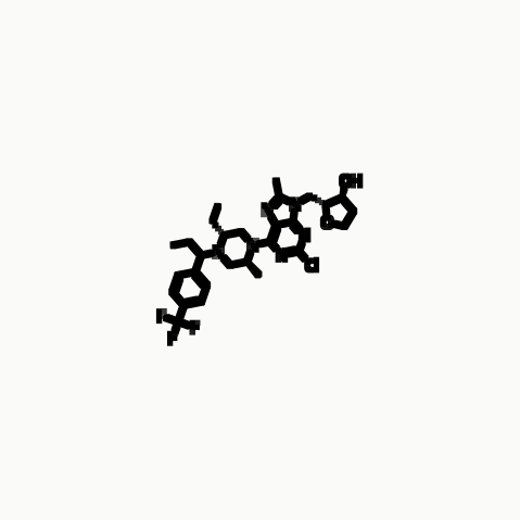 CCC(c1ccc(C(F)(F)F)cc1)N1C[C@H](C)N(c2nc(Cl)nc3c2nc(C)n3C[C@H]2OCC[C@@H]2O)C[C@H]1CC